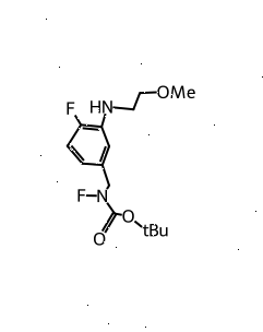 COCCNc1cc(CN(F)C(=O)OC(C)(C)C)ccc1F